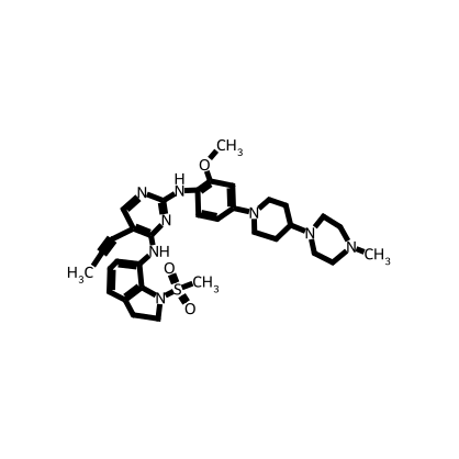 CC#Cc1cnc(Nc2ccc(N3CCC(N4CCN(C)CC4)CC3)cc2OC)nc1Nc1cccc2c1N(S(C)(=O)=O)CC2